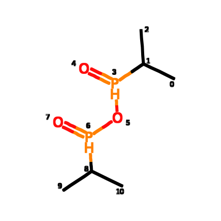 CC(C)[PH](=O)O[PH](=O)C(C)C